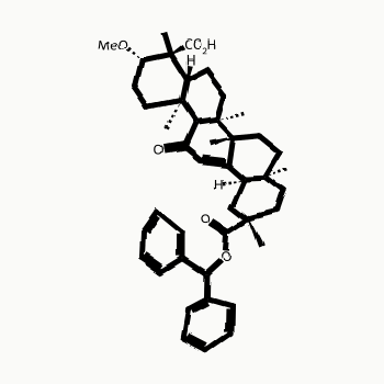 CO[C@H]1CC[C@]2(C)C3C(=O)C=C4[C@@H]5C[C@@](C)(C(=O)OC(c6ccccc6)c6ccccc6)CC[C@]5(C)CC[C@@]4(C)[C@]3(C)CC[C@H]2[C@]1(C)C(=O)O